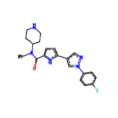 CC(C)N(C(=O)c1ccc(-c2cnn(-c3ccc(F)cc3)c2)[nH]1)C1CCNCC1